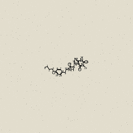 CCCCOc1ccc(CCNC(=O)Cn2cnc3c2c(=O)n(C)c(=O)n3C)cc1